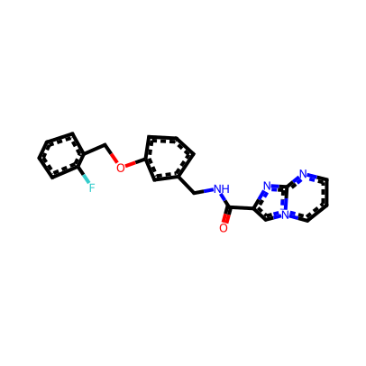 O=C(NCc1cccc(OCc2ccccc2F)c1)c1cn2cccnc2n1